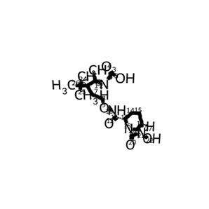 CC(NC(=O)O)C(CCONC(=O)[C@@H]1CC[C@@H]2CN1C(=O)N2O)C(C)(C)C